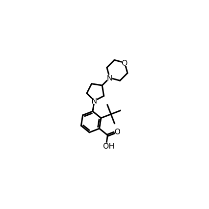 CC(C)(C)c1c(C(=O)O)cccc1N1CCC(N2CCOCC2)C1